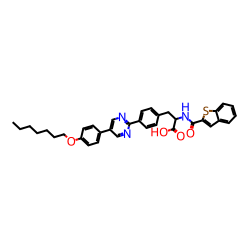 CCCCCCCOc1ccc(-c2cnc(-c3ccc(CC(NC(=O)c4cc5ccccc5s4)C(=O)O)cc3)nc2)cc1